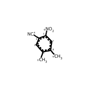 Cc1cc(C#N)c([N+](=O)[O-])cc1C